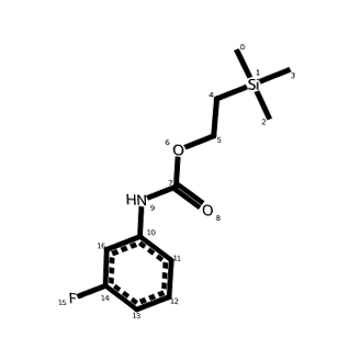 C[Si](C)(C)CCOC(=O)Nc1cccc(F)c1